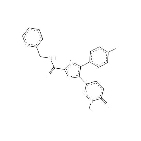 CC(C)n1nc(-c2sc(C(=O)NCc3ccccn3)nc2-c2ccc(F)cc2)ccc1=O